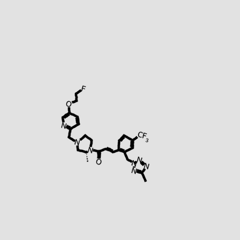 Cc1nnn(Cc2cc(C(F)(F)F)ccc2/C=C/C(=O)N2CCN(Cc3ccc(OCCF)cn3)C[C@H]2C)n1